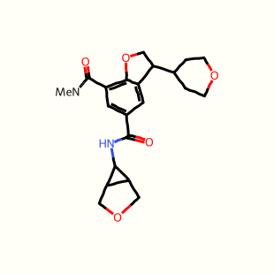 CNC(=O)c1cc(C(=O)NC2C3COCC32)cc2c1OCC2C1CCOCC1